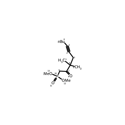 CCCCC#CCC(C)(C)C(=O)CP(=O)(OC)OC